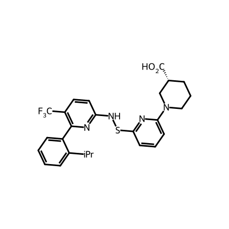 CC(C)c1ccccc1-c1nc(NSc2cccc(N3CCC[C@@H](C(=O)O)C3)n2)ccc1C(F)(F)F